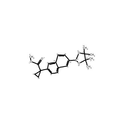 COC(=O)C1(c2ccc3cc(B4OC(C)(C)C(C)(C)O4)ccc3c2)CC1